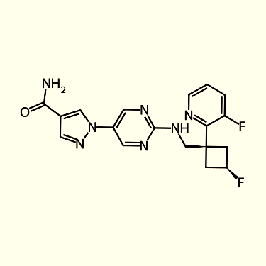 NC(=O)c1cnn(-c2cnc(NC[C@]3(c4ncccc4F)C[C@H](F)C3)nc2)c1